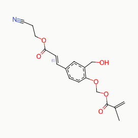 C=C(C)C(=O)OCOc1ccc(/C=C/C(=O)OCCC#N)cc1CO